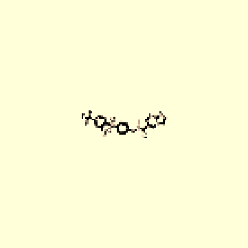 O=C(NCc1ccc(S(=O)(=O)c2ccc(C(F)(F)F)cc2Cl)cc1)c1cnc2nccn2c1